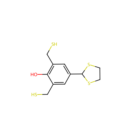 Oc1c(CS)cc(C2SCCS2)cc1CS